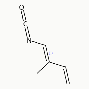 C=C/C(C)=C/N=C=O